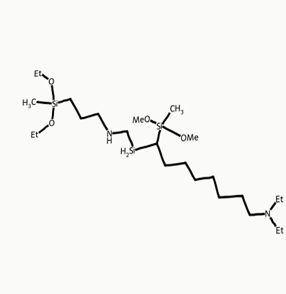 CCO[Si](C)(CCCNC[SiH2]C(CCCCCCCN(CC)CC)[Si](C)(OC)OC)OCC